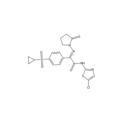 O=C(Nc1ncc(Cl)s1)/C(=N/N1CCCC1=O)c1ccc(S(=O)(=O)C2CC2)cc1